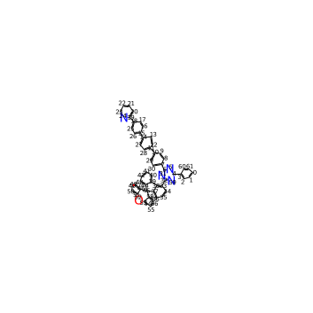 c1ccc(-c2nc(-c3ccc(-c4ccc(-c5ccc(-c6ccccn6)cc5)cc4)cc3)nc(-c3cccc4c3-c3ccccc3C43c4ccccc4Oc4ccccc43)n2)cc1